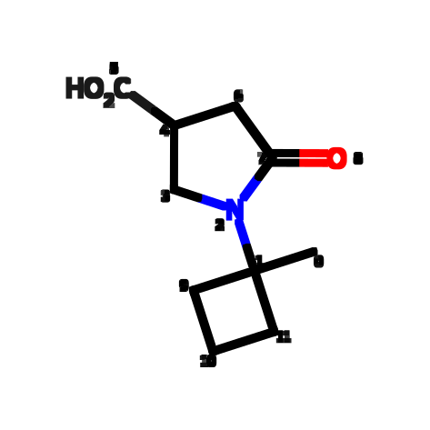 CC1(N2CC(C(=O)O)CC2=O)CCC1